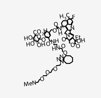 CC[C@@]1(O)C(=O)OCc2c1cc1n(c2=O)Cc2c-1nc1cc(F)c(C)c3c1c2[C@@H](NC(=O)OCc1ccc(O[C@@H]2O[C@H](C(=O)O)[C@@H](O)[C@H](O)[C@H]2O)c(C(=O)NCCNC(=O)COC2CCCCCc4c2nnn4CCOCCOCCOCCNC)c1)CC3